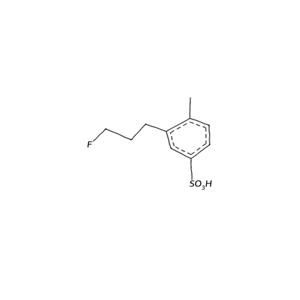 Cc1ccc(S(=O)(=O)O)cc1CCCF